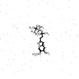 COc1cn2nc(CCC(C)(C)O[Si](C)(C)C(C)(C)C)cc2cc1N